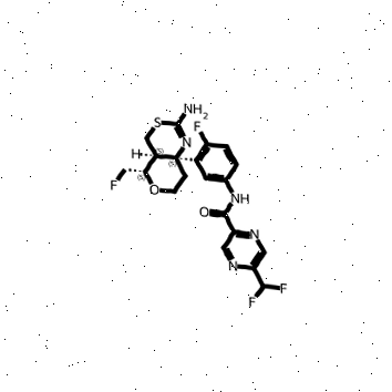 NC1=N[C@@]2(c3cc(NC(=O)c4cnc(C(F)F)cn4)ccc3F)CCO[C@H](CF)[C@H]2CS1